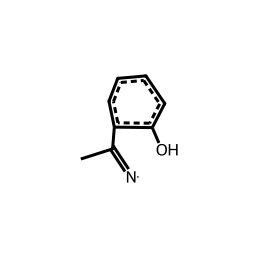 CC(=[N])c1ccccc1O